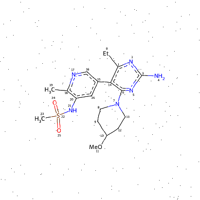 CCc1nc(N)nc(N2CCC(OC)CC2)c1-c1cnc(C)c(NS(C)(=O)=O)c1